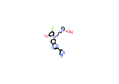 COc1cc(F)cc(N(CCCN2CCC[C@@H]2CO)c2ccc3ncc(-c4cnn(C)c4)nc3c2)c1